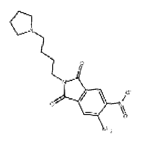 Nc1cc2c(cc1[N+](=O)[O-])C(=O)N(CCCCN1CCCC1)C2=O